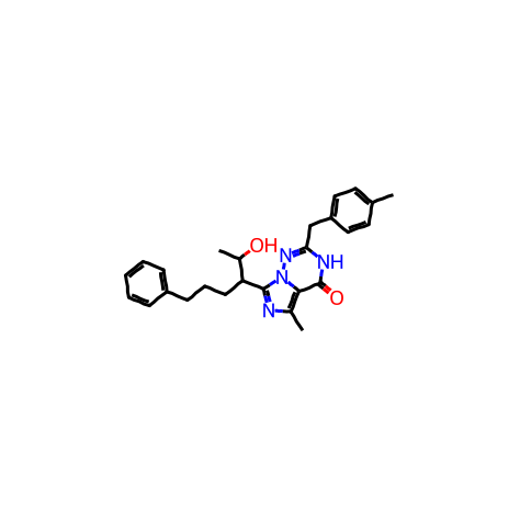 Cc1ccc(Cc2nn3c(C(CCCc4ccccc4)C(C)O)nc(C)c3c(=O)[nH]2)cc1